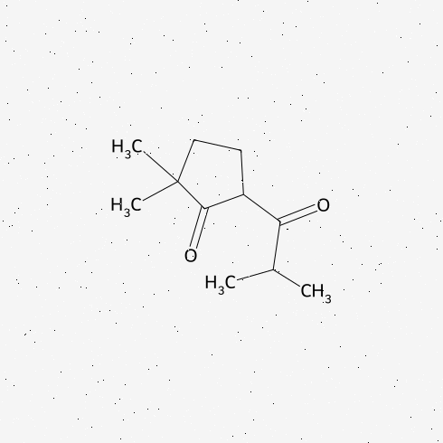 CC(C)C(=O)C1CCC(C)(C)C1=O